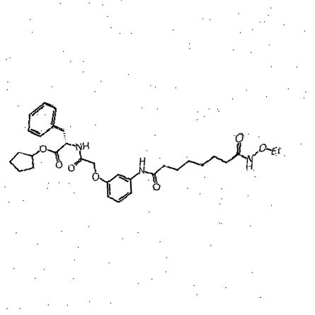 CCONC(=O)CCCCCCC(=O)Nc1cccc(OCC(=O)N[C@@H](Cc2ccccc2)C(=O)OC2CCCC2)c1